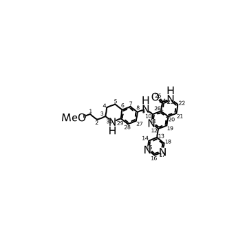 COCCC1CCc2cc(Nc3nc(-c4cncnc4)cc4cc[nH]c(=O)c34)ccc2N1